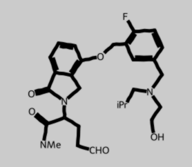 CNC(=O)C(CCC=O)N1Cc2c(OCc3cc(CN(CCO)CC(C)C)ccc3F)cccc2C1=O